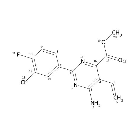 C=Cc1c(N)nc(-c2ccc(F)c(Cl)c2)nc1C(=O)OC